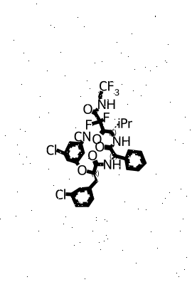 CC(C)[C@H](NC(=O)[C@@H](NC(=O)[C@@H](Cc1cccc(Cl)c1)Oc1cc(Cl)cc(C#N)c1)c1ccccc1)C(=O)C(F)(F)C(=O)NCC(F)(F)F